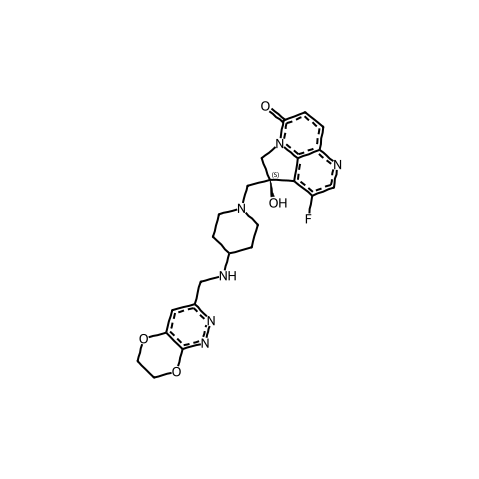 O=c1ccc2ncc(F)c3c2n1C[C@@]3(O)CN1CCC(NCc2cc3c(nn2)OCCO3)CC1